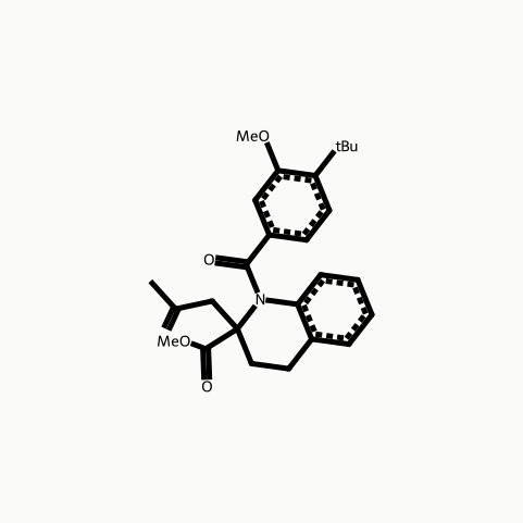 C=C(C)CC1(C(=O)OC)CCc2ccccc2N1C(=O)c1ccc(C(C)(C)C)c(OC)c1